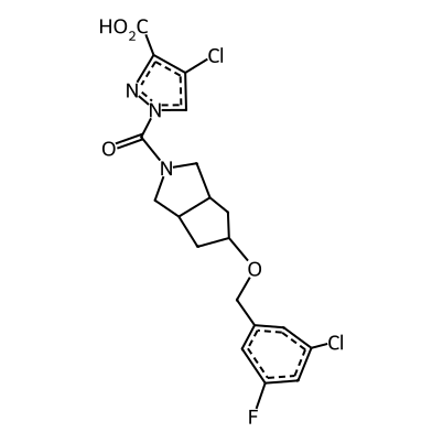 O=C(O)c1nn(C(=O)N2CC3CC(OCc4cc(F)cc(Cl)c4)CC3C2)cc1Cl